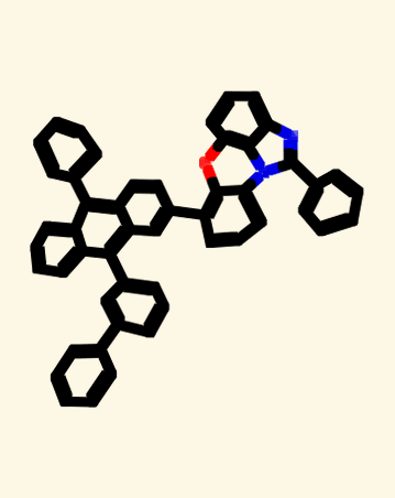 c1ccc(-c2cccc(-c3c4ccccc4c(-c4ccccc4)c4ccc(-c5cccc6c5Oc5cccc7nc(-c8ccccc8)n-6c57)cc34)c2)cc1